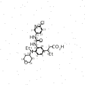 CCC(CC(=O)O)c1ccc(N(CC)C2CCOCC2)c(NC(=O)Nc2ccc(Cl)nc2)c1